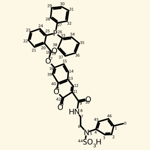 Cc1ccc(N(CCNC(=O)c2cc3ccc(OC(=O)c4ccccc4P(c4ccccc4)c4ccccc4)cc3oc2=O)S(=O)(=O)O)cc1